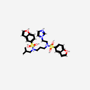 CC(C)CN(CCCN(CCn1ccnc1)S(=O)(=O)c1ccc2occc2c1)S(=O)(=O)c1ccc2occc2c1